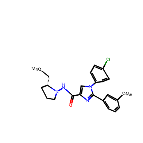 COC[C@H]1CCCN1NC(=O)c1cn(-c2ccc(Cl)cc2)c(-c2cccc(OC)c2)n1